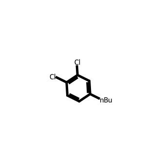 [CH2]CCCc1ccc(Cl)c(Cl)c1